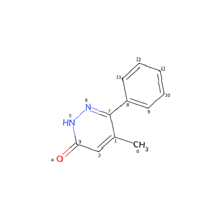 Cc1cc(=O)[nH]nc1-c1ccccc1